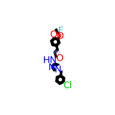 CC1(F)Oc2ccc(/C=C/C(=O)Nc3cn(Cc4cccc(Cl)c4)cn3)cc2O1